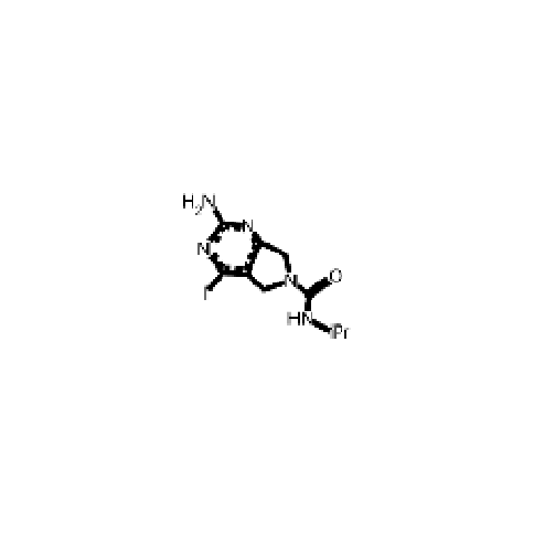 CC(C)NC(=O)N1Cc2nc(N)nc(I)c2C1